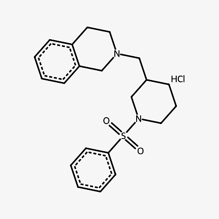 Cl.O=S(=O)(c1ccccc1)N1CCCC(CN2CCc3ccccc3C2)C1